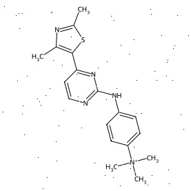 Cc1nc(C)c(-c2ccnc(Nc3ccc([N+](C)(C)C)cc3)n2)s1